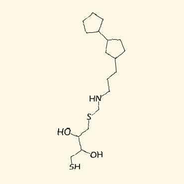 OC(CS)C(O)CSCNCCCC1CCC(C2CCCC2)C1